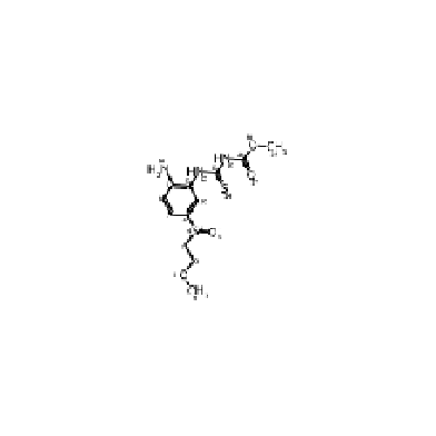 COCC[S+]([O-])c1ccc(N)c(NC(=S)NC(=O)OC)c1